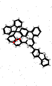 CN1C(c2ccccc2-c2ccc3c(c2)Oc2ccccc2C32c3ccccc3-c3ccccc32)=CC(c2ccc3c(c2)oc2ccccc23)=NC1c1ccccc1